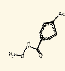 CC(=O)c1ccc(C(=O)NON)cc1